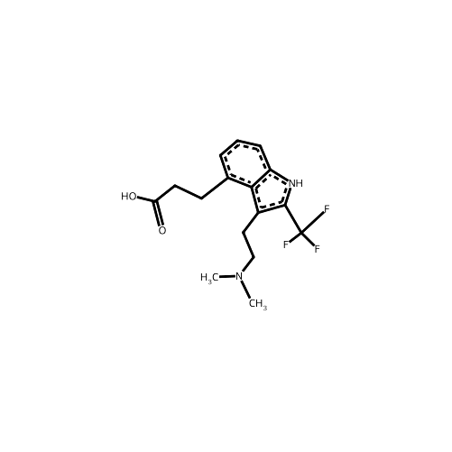 CN(C)CCc1c(C(F)(F)F)[nH]c2cccc(CCC(=O)O)c12